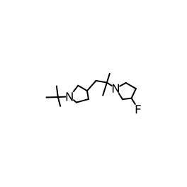 CC(C)(C)N1CCC(CC(C)(C)N2CCC(F)C2)C1